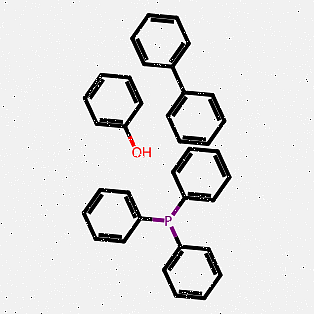 Oc1ccccc1.c1ccc(-c2ccccc2)cc1.c1ccc(P(c2ccccc2)c2ccccc2)cc1